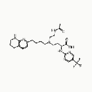 CC(=O)NCCN(CCCCc1ccc2c(n1)NCCC2)CCC(Nc1ncc(C(F)(F)F)cn1)C(=O)O